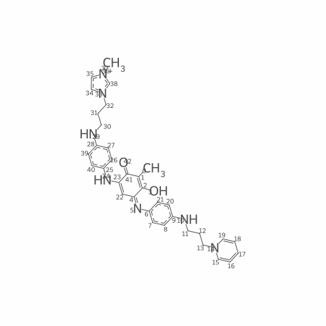 CC1=C(O)/C(=N\c2ccc(NCCCN3C=C=CC=C3)cc2)C=C(Nc2ccc(NCCCn3cc[n+](C)c3)cc2)C1=O